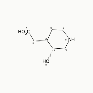 O=C(O)C[C@@H]1CCNC[C@@H]1O